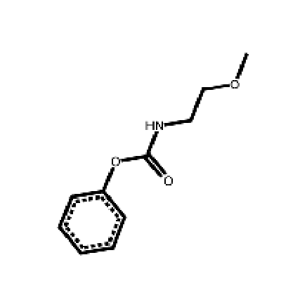 COCCNC(=O)Oc1ccccc1